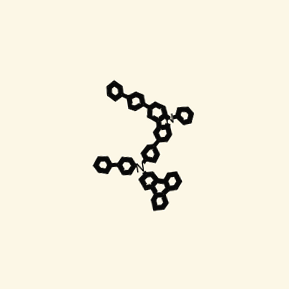 c1ccc(-c2ccc(-c3ccc4c(c3)c3cc(-c5ccc(N(c6ccc(-c7ccccc7)cc6)c6ccc7c8ccccc8c8ccccc8c7c6)cc5)ccc3n4-c3ccccc3)cc2)cc1